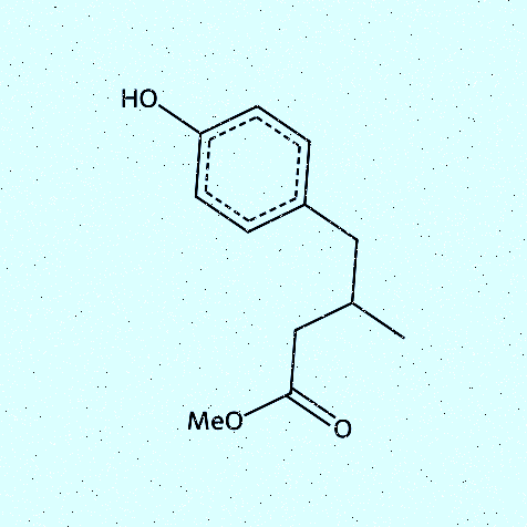 COC(=O)CC(C)Cc1ccc(O)cc1